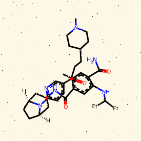 CCC(CC)Nc1cc(C(=O)N[C@H]2C[C@H]3CC[C@@H](C2)N3c2ccc(C(=O)CCC3CCN(C)CC3)cn2)c(C)cc1C(N)=O